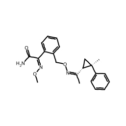 CON=C(C(N)=O)c1ccccc1CON=C(C)[C@@H]1C[C@@]1(C)c1ccccc1